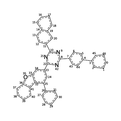 c1ccc(-c2ccc(-c3nc(-c4ccc5ccccc5c4)nc(-c4cc(-c5ccccc5)c5c(c4)oc4ccccc45)n3)cc2)cc1